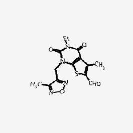 CCn1c(=O)c2c(C)c(C=O)sc2n(Cc2nonc2C)c1=O